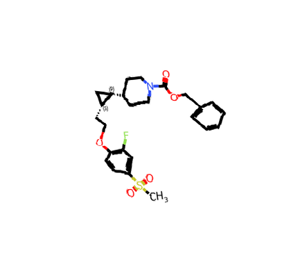 CS(=O)(=O)c1ccc(OCC[C@@H]2C[C@@H]2C2CCN(C(=O)OCc3ccccc3)CC2)c(F)c1